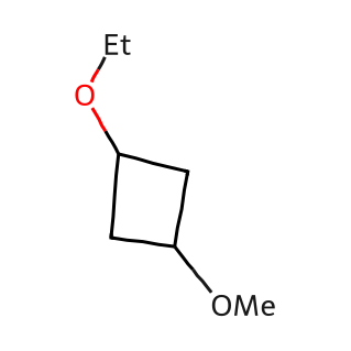 CCOC1CC(OC)C1